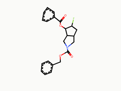 O=C(OC1C(F)CC2CN(C(=O)OCc3ccccc3)CC21)c1ccccc1